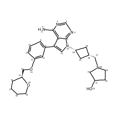 Nc1ncnc2c1c(-c1cccc(OC[C@@H]3CCCCO3)c1)cn2[C@H]1C[C@@H](CN2CCC(O)C2)C1